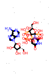 Nc1ncnc2c1ncn2[C@@H]1O[C@H](CO)[C@@H](O)[C@H]1O.O=c1ccn([C@]2(P(=O)(O)O)O[C@H](CO)[C@](O)(P(=O)(O)O)[C@]2(OP(=O)(O)O)P(=O)(O)O)c(=O)[nH]1